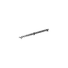 CC(C)CCCCCCCCCCCCCCCSCCCCCCCCCCCCCCCC(C)C